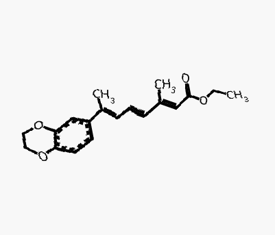 CCOC(=O)/C=C(C)/C=C/C=C(\C)c1ccc2c(c1)OCCO2